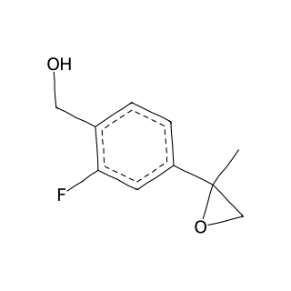 CC1(c2ccc(CO)c(F)c2)CO1